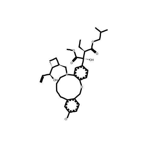 C=C[C@H](O)[C@@H]1CC[C@H]1CN1CCCCc2cc(Cl)ccc2COc2ccc([C@@](O)(C(=O)OC)[C@@H](CC)C(=O)OCC(C)C)cc21